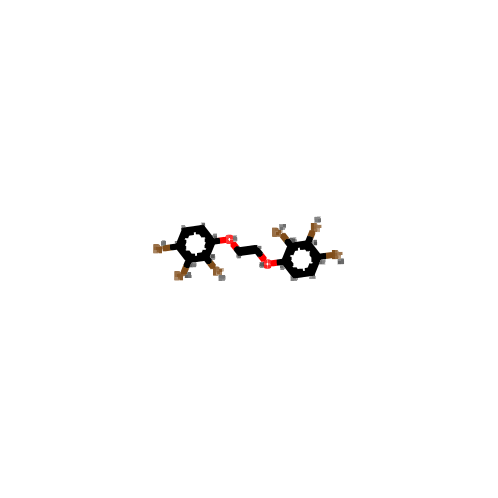 Brc1ccc(O/C=C/Oc2ccc(Br)c(Br)c2Br)c(Br)c1Br